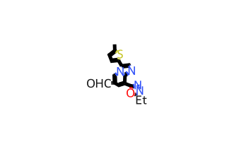 CCc1nnc(-c2cc(C=O)cn3c(-c4ccc(C)s4)cnc23)o1